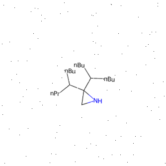 CCCCC(CCC)C1(C(CCCC)CCCC)CN1